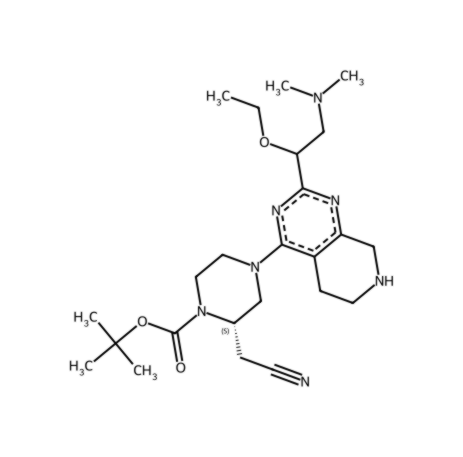 CCOC(CN(C)C)c1nc2c(c(N3CCN(C(=O)OC(C)(C)C)[C@@H](CC#N)C3)n1)CCNC2